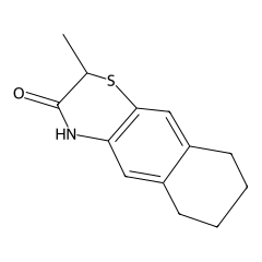 CC1Sc2cc3c(cc2NC1=O)CCCC3